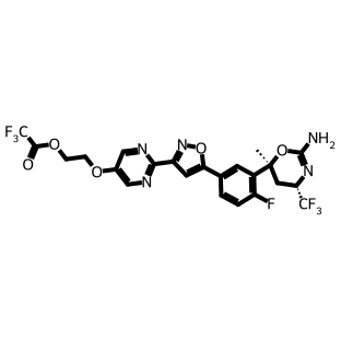 C[C@@]1(c2cc(-c3cc(-c4ncc(OCCOC(=O)C(F)(F)F)cn4)no3)ccc2F)C[C@@H](C(F)(F)F)N=C(N)O1